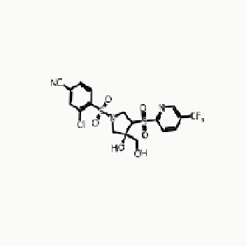 N#Cc1ccc(S(=O)(=O)N2CC(S(=O)(=O)c3ccc(C(F)(F)F)cn3)[C@](O)(CO)C2)c(Cl)c1